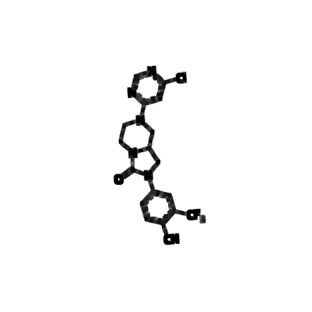 N#Cc1ccc(N2CC3CN(c4cc(Cl)ncn4)CCN3C2=O)cc1C(F)(F)F